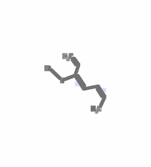 C=C/C(=C\C=C/C)SCC